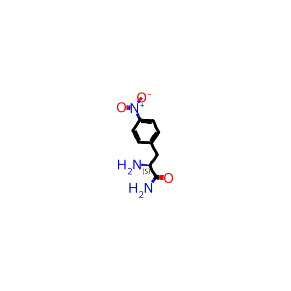 NC(=O)[C@@H](N)Cc1ccc([N+](=O)[O-])cc1